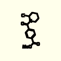 COC(=O)c1ccc(C(=O)N2CCCCC2Cl)cc1